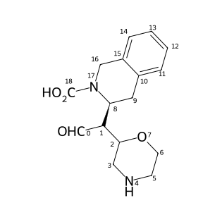 O=CC(C1CNCCO1)[C@@H]1Cc2ccccc2CN1C(=O)O